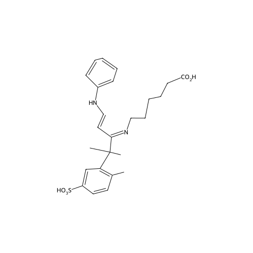 Cc1ccc(S(=O)(=O)O)cc1C(C)(C)C(/C=C/Nc1ccccc1)=N/CCCCCC(=O)O